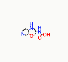 O=C(O)NC1=CNc2ccncc2OC1